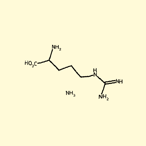 N.N=C(N)NCCCC(N)C(=O)O